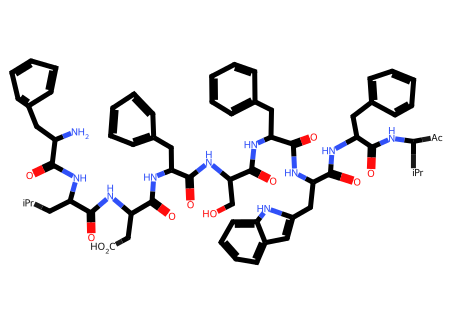 CC(=O)C(NC(=O)C(Cc1ccccc1)NC(=O)C(Cc1cc2ccccc2[nH]1)NC(=O)C(Cc1ccccc1)NC(=O)C(CO)NC(=O)C(Cc1ccccc1)NC(=O)C(CC(=O)O)NC(=O)C(CC(C)C)NC(=O)C(N)Cc1ccccc1)C(C)C